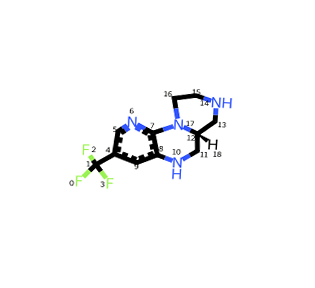 FC(F)(F)c1cnc2c(c1)NC[C@H]1CNCCN21